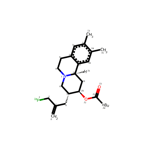 C=C(C[18F])C[C@@H]1CN2CCc3cc(C)c(C)cc3[C@H]2C[C@H]1OC(=O)CCCC